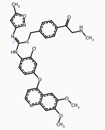 CNCC(=O)c1ccc(CS/C(=N\c2cc(C)on2)Nc2ccc(Oc3ccnc4cc(OC)c(OC)cc34)cc2Cl)cc1